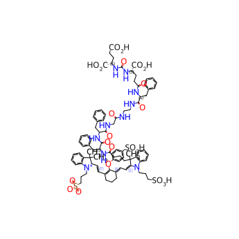 CC1(C)C(/C=C/C2=C(Oc3ccc(S(=O)(=O)O)cc3)C(=C/C=C3/N(CCCS(=O)(=O)O)c4ccccc4C3(C)CCCC(=O)N[C@@H](Cc3ccccc3)C(=O)NC(Cc3ccccc3)C(=O)NCC(=O)NCCNC(=O)[C@H](Cc3ccccc3)NC(=O)CC[C@H](NC(=O)N[C@@H](CCC(=O)O)C(=O)O)C(=O)O)/CCC2)=[N+](CCCS(=O)(=O)[O-])c2ccccc21